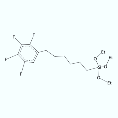 CCO[Si](CCCCCCc1cc(F)c(F)c(F)c1F)(OCC)OCC